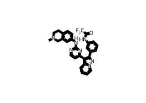 CN1CCc2ccc(Nc3nccc(-c4c(-c5cccc(NC(=O)C(F)(F)F)c5)nn5ccccc45)n3)cc2C1